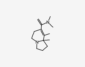 C=C(C1=C(C)C2(C)CCCN2CC1)N(C)C